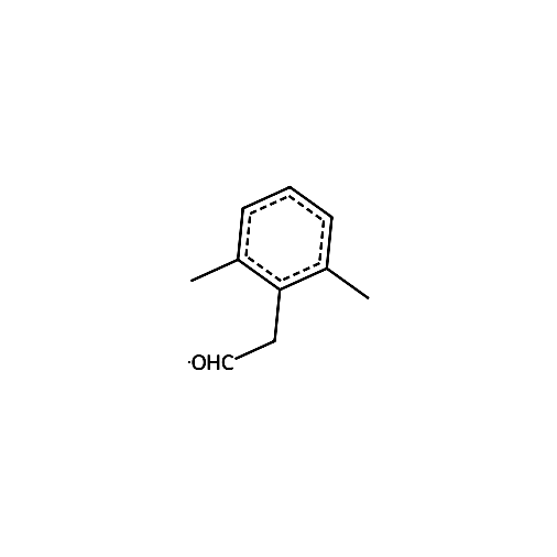 Cc1cccc(C)c1C[C]=O